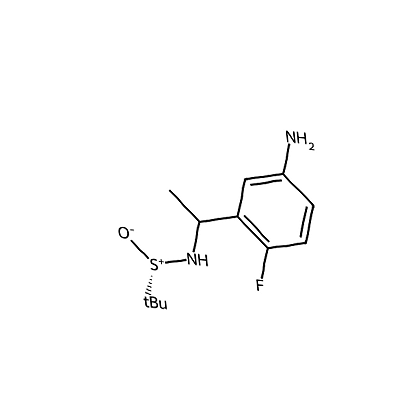 CC(N[S@@+]([O-])C(C)(C)C)c1cc(N)ccc1F